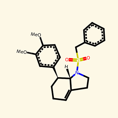 COc1ccc([C@@H]2CCC=C3CCN(S(=O)(=O)Cc4ccccc4)[C@H]32)cc1OC